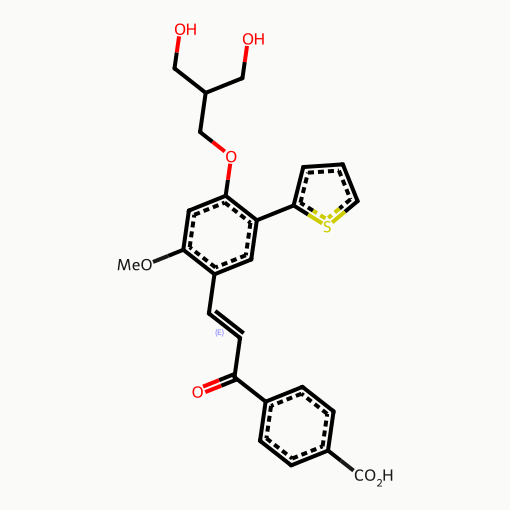 COc1cc(OCC(CO)CO)c(-c2cccs2)cc1/C=C/C(=O)c1ccc(C(=O)O)cc1